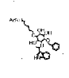 CC(=O)NCCCCCOC1C(O)C(O)C(OCc2ccccc2)C(OC(C)c2c[nH]c3ccccc23)C1O